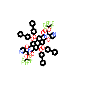 O=C(OC(C(F)(F)F)C(F)(F)F)C(c1cccnc1)N1C(=O)c2cc(Oc3ccc(-c4ccccc4)cc3)c3c4c(Oc5ccc(-c6ccccc6)cc5)cc5c6c(cc(Oc7ccc(-c8ccccc8)cc7)c(c7c(Oc8ccc(-c9ccccc9)cc8)cc(c2c37)C1=O)c64)C(=O)N(C(C(=O)OC(C(F)(F)F)C(F)(F)F)c1cccnc1)C5=O